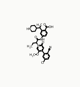 CCC(C(=O)Nc1ccc(C(=O)O)c(C(C)C2CCNCC2)c1)n1cc(OC)c(-c2cc(Cl)ccc2C#N)cc1=O